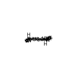 c1ccc2[nH]c(NCCOCCSSCCOCCNc3nc4ccccc4[nH]3)nc2c1